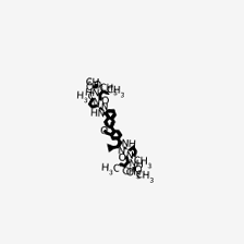 CC[C@H](C)[C@H](NC(=O)OC)C(=O)N1[C@@H](C)CC[C@H]1c1nc(C2CC2)c(-c2ccc3c(c2)COc2cc4c(ccc5nc([C@@H]6CC[C@H](C)N6C(=O)[C@@H](NC(=O)OC)[C@@H](C)CC)[nH]c54)cc2-3)[nH]1